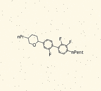 CCCCCc1ccc(-c2ccc(C3CCC(CCC)CO3)cc2F)c(F)c1F